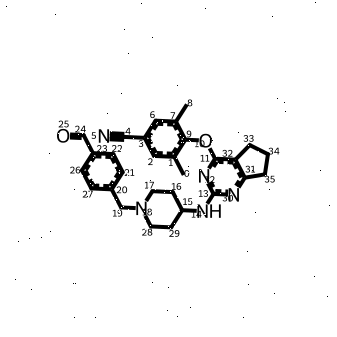 Cc1cc(C#N)cc(C)c1Oc1nc(NC2CCN(Cc3ccc(C=O)cc3)CC2)nc2c1CCC2